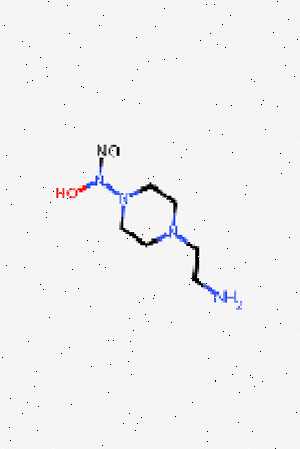 NCCN1CCN(N(O)N=O)CC1